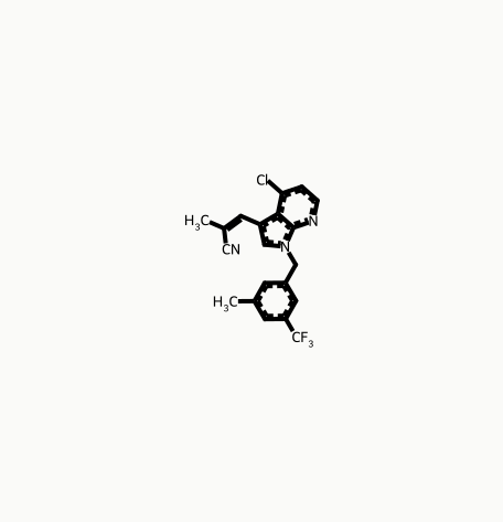 C/C(C#N)=C/c1cn(Cc2cc(C)cc(C(F)(F)F)c2)c2nccc(Cl)c12